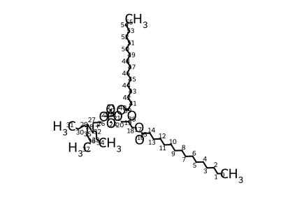 CCCCCCCCCCCCCCCC(=O)OCC(COP(=O)([O-])OCC[N+](CCC)(CCC)CCC)OC(=O)CCCCCCCCCCCCCCC